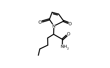 CCCCC(C(N)=O)N1C(=O)C=CC1=O